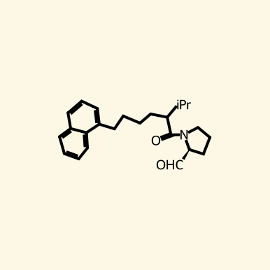 CC(C)C(CCCCc1cccc2ccccc12)C(=O)N1CCC[C@H]1C=O